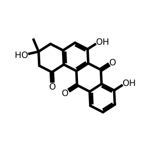 CC1(O)CC(=O)c2c(cc(O)c3c2C(=O)c2cccc(O)c2C3=O)C1